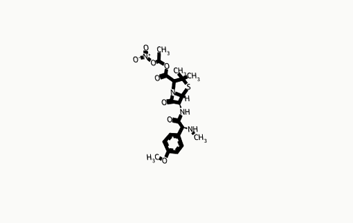 CN[C@@H](C(=O)N[C@@H]1C(=O)N2C(C(=O)OC(C)O[N+](=O)[O-])C(C)(C)S[C@H]12)c1ccc(OC)cc1